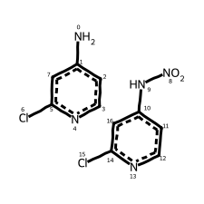 Nc1ccnc(Cl)c1.O=[N+]([O-])Nc1ccnc(Cl)c1